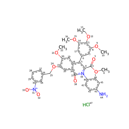 COC(=O)c1c(-c2cc(OC)c(OC)c(OC)c2)c2cc(OC)c(OCc3cccc([N+](=O)[O-])c3)cc2c(=O)n1-c1ccc(N)cc1.Cl